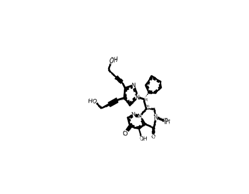 CC(C)N1C[C@H]([C@@H](c2ccccc2)n2cc(C#CCO)c(C#CCO)n2)n2ncc(=O)c(O)c2C1=O